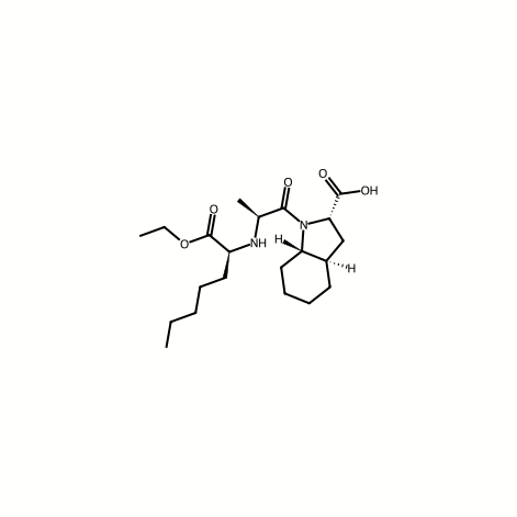 CCCCC[C@H](N[C@@H](C)C(=O)N1[C@H](C(=O)O)C[C@H]2CCCC[C@@H]21)C(=O)OCC